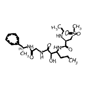 CCCC(NC(=O)C(CS(C)(=O)=O)NCC)C(O)C(=O)NCC(=O)N[C@H](C)c1ccccc1